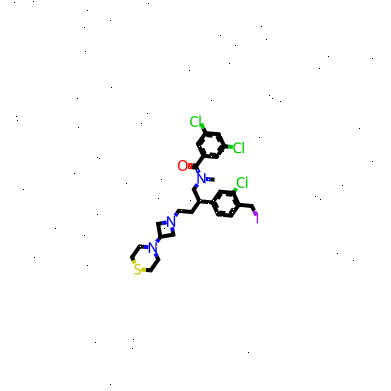 CN(CC(CCN1CC(N2CCSCC2)C1)c1ccc(CI)c(Cl)c1)C(=O)c1cc(Cl)cc(Cl)c1